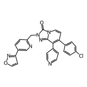 O=c1n(Cc2ccc(-c3ccon3)cn2)nc2c(-c3ccncc3)c(-c3ccc(Cl)cc3)ccn12